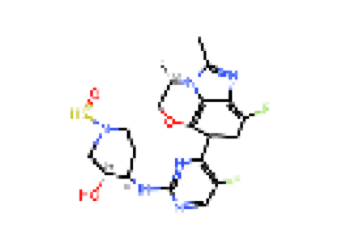 Cc1nc2c3n1[C@@H](C)COC=3C(c1nc(N[C@@H]3CCN([SH]=O)C[C@H]3O)ncc1F)CC=2F